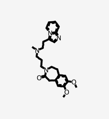 COc1cc2c(cc1OC)CC(=O)N(CCCN(C)CCc1cnc3ccccn13)CC2